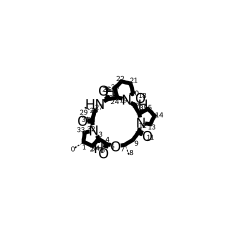 C[C@H]1C[C@H]2C(=O)O[C@@H](C)CC(=O)N3CCC[C@H]3C(=O)N3CCCC[C@H]3C(=O)N[C@@H](C)C(=O)N2C1